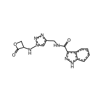 O=C(NCc1cn(NC2COC2=O)nn1)c1n[nH]c2ccccc12